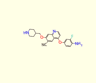 N#Cc1cc2c(Oc3ccc(N)c(F)c3)ccnc2cc1OCC1CCNCC1